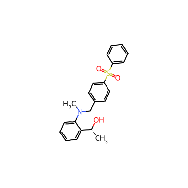 C[C@@H](O)c1ccccc1N(C)Cc1ccc(S(=O)(=O)c2ccccc2)cc1